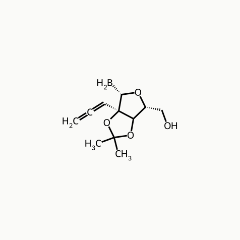 B[C@@H]1O[C@H](CO)C2OC(C)(C)O[C@]21C=C=C